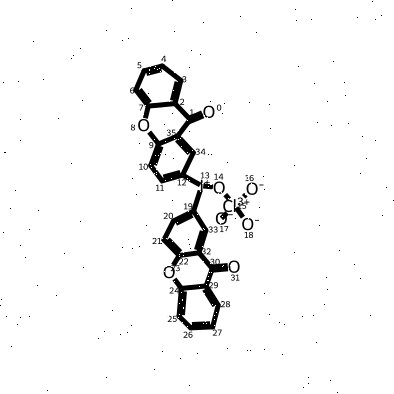 O=c1c2ccccc2oc2ccc([I+](O[Cl+3]([O-])([O-])[O-])c3ccc4oc5ccccc5c(=O)c4c3)cc12